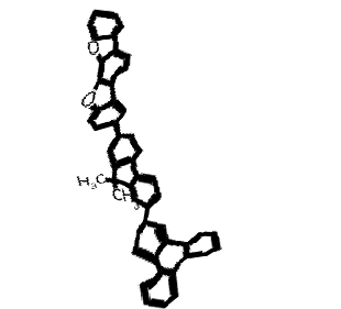 CC1(C)c2cc(-c3ccc4oc5c(ccc6c7ccccc7oc65)c4c3)ccc2-c2ccc(-c3ccc4c5ccccc5c5ccccc5c4c3)cc21